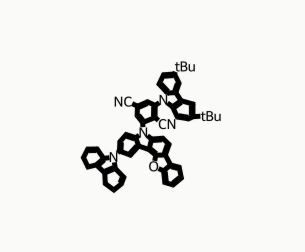 CC(C)(C)c1ccc2c(c1)c1cc(C(C)(C)C)ccc1n2-c1cc(C#N)cc(-n2c3ccc(-n4c5c(c6c4C=CCC6)CCC=C5)cc3c3c4oc5ccccc5c4ccc32)c1C#N